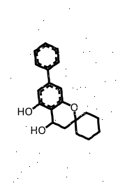 Oc1cc(-c2ccccc2)cc2c1C(O)CC1(CCCCC1)O2